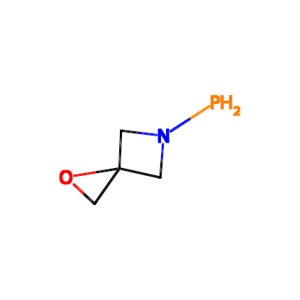 PN1CC2(CO2)C1